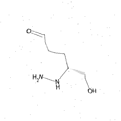 NN[C@@H](CO)CCC=O